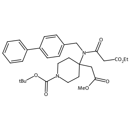 CCOC(=O)CC(=O)N(Cc1ccc(-c2ccccc2)cc1)C1(CC(=O)OC)CCN(C(=O)OC(C)(C)C)CC1